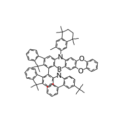 Cc1cc2c(cc1N1c3cc4c(cc3B3c5c1cc1c(c5-c5c(ccc6c5-c5ccccc5C6(C)C)N3c3ccc(C(C)(C)C)cc3-c3ccccc3)C(C)(C)c3ccccc3-1)Oc1ccccc1O4)C(C)(C)CCC2(C)C